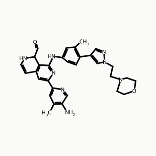 Cc1cc(-c2cc3c(c(Nc4ccc(-c5cnn(CCN6CCOCC6)c5)c(C)c4)n2)C(C=O)NC=C3)ncc1N